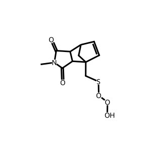 CN1C(=O)C2C3C=CC(CSOOO)(C3)C2C1=O